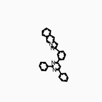 c1ccc(-c2cc(-c3cccc(-c4cc5cc6ccccc6cn5n4)c3)nc(-c3ccccc3)n2)cc1